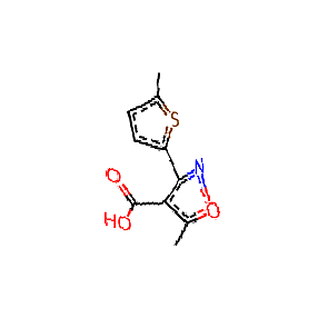 Cc1ccc(-c2noc(C)c2C(=O)O)s1